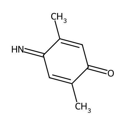 CC1=CC(=O)C(C)=CC1=N